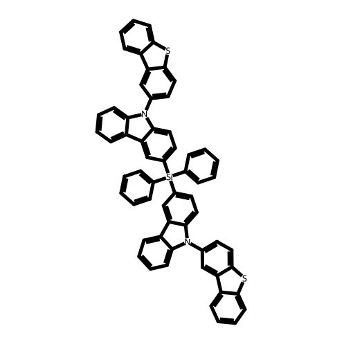 c1ccc([Si](c2ccccc2)(c2ccc3c(c2)c2ccccc2n3-c2ccc3sc4ccccc4c3c2)c2ccc3c(c2)c2ccccc2n3-c2ccc3sc4ccccc4c3c2)cc1